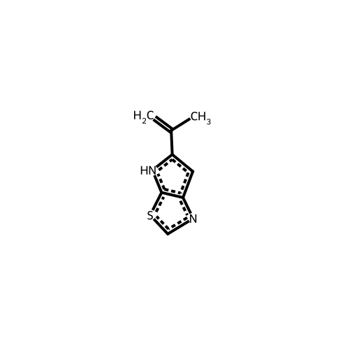 C=C(C)c1cc2ncsc2[nH]1